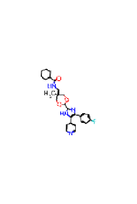 CC1(CNC(=O)C2CCCCC2)COC(c2nc(-c3ccc(F)cc3)c(-c3ccncc3)[nH]2)OC1